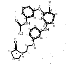 CCC(=O)Nc1cccc(Oc2nc(Nc3cccc(OCCN4CCCC4=O)c3)ncc2F)c1